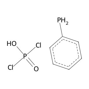 O=P(O)(Cl)Cl.Pc1ccccc1